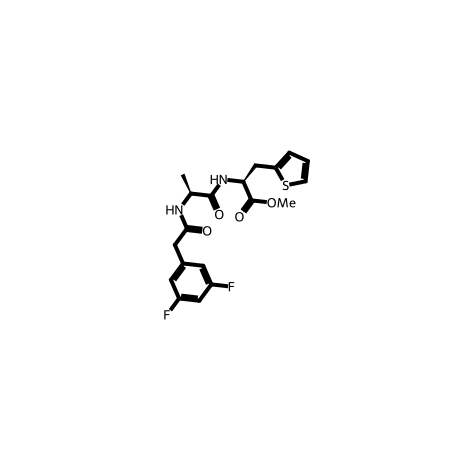 COC(=O)[C@H](Cc1cccs1)NC(=O)[C@H](C)NC(=O)Cc1cc(F)cc(F)c1